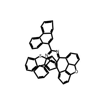 C1=CCCC(c2nc(C3=CC=CC4Oc5cccc(-c6ccc7sc8ccccc8c7c6)c5C34)nc(-c3cc4ccccc4c4ccccc34)n2)=C1